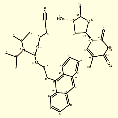 CC(C)N(C(C)C)P(OCCC#N)OSCc1c2ccccc2cc2ccccc12.Cc1cn([C@H]2C[C@H](O)[C@@H](C)O2)c(=O)[nH]c1=O